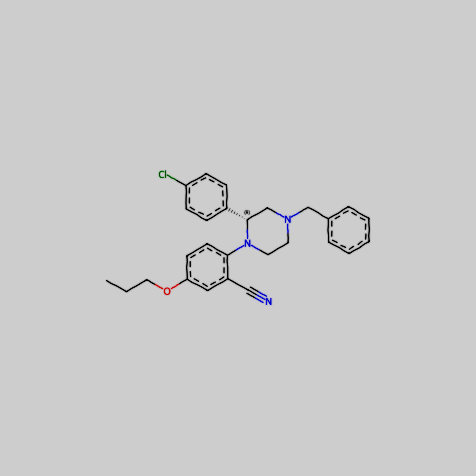 CCCOc1ccc(N2CCN(Cc3ccccc3)C[C@H]2c2ccc(Cl)cc2)c(C#N)c1